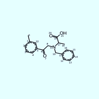 Cc1cccc(C(=O)CN(Cc2ccccc2)C(C)C(=O)O)c1